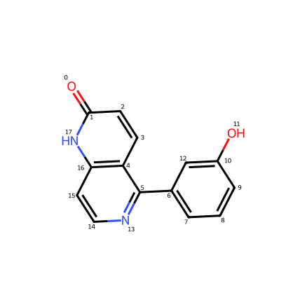 O=c1ccc2c(-c3cccc(O)c3)nccc2[nH]1